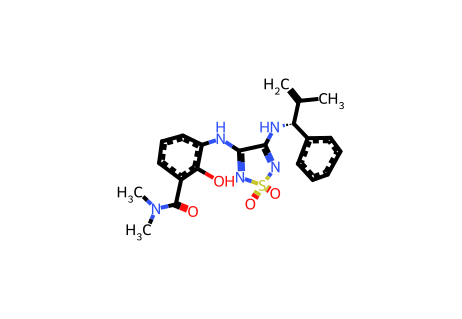 C=C(C)[C@@H](NC1=NS(=O)(=O)N=C1Nc1cccc(C(=O)N(C)C)c1O)c1ccccc1